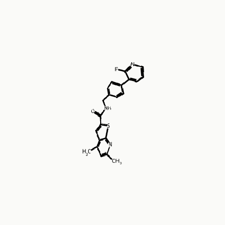 Cc1cc(C)c2cc(C(=O)NCc3ccc(-c4cccnc4F)cc3)sc2n1